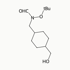 CC(C)(C)ON(C=O)CC1CCC(CO)CC1